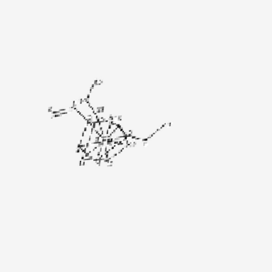 C=C[C]12[CH]3[CH]4[C]5(CC)[CH]1[Fe]34251678[CH]2[CH]1[CH]6[C]7(CC)[CH]28